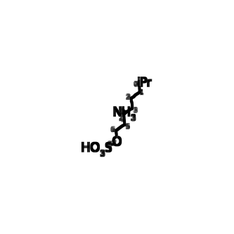 CC(C)CCCCCCOS(=O)(=O)O.N